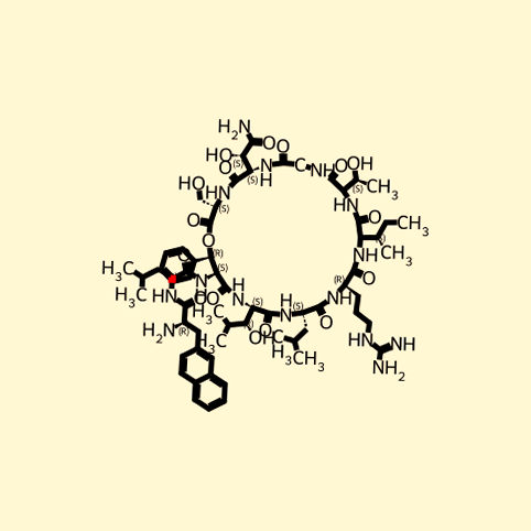 CC[C@H](C)C1NC(=O)[C@@H](CCCNC(=N)N)NC(=O)[C@H](CC(C)C)NC(=O)[C@H]([C@H](O)C(C)C)NC(=O)[C@@H](NC(=O)[C@H](CC(C)C)NC(=O)[C@H](N)Cc2ccc3ccccc3c2)[C@@H](c2ccccc2)OC(=O)[C@H](CO)NC(=O)[C@H]([C@H](O)C(N)=O)NC(=O)CNC(=O)C([C@H](C)O)NC1=O